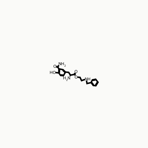 NC(=O)c1cc(C[C@H](N)C(=O)OCCNCc2ccccc2)ccc1O